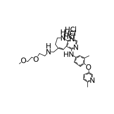 COCCOCCNCC1=Cc2c(ncnc2Nc2ccc(Oc3ccc(C)nc3)c(C)c2)NCC1.Cl.Cl.Cl